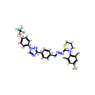 Cc1cc(Br)cc(C)c1N1CCCS/C1=N\N=C\c1ccc(-c2ncn(-c3ccc(OC(F)(F)F)cc3)n2)cc1